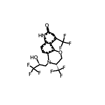 O=c1cc(C(F)(F)F)c2c3c(ccc2[nH]1)N(C[C@H](O)C(F)(F)F)[C@@H](C(F)(F)F)CO3